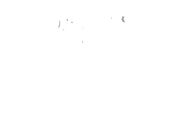 C=CCC(OC(N)=O)c1ccccc1